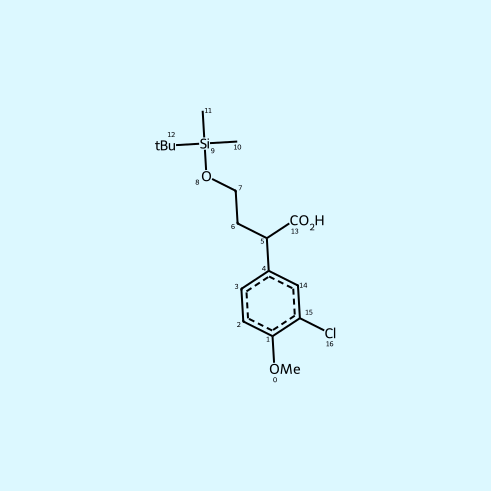 COc1ccc(C(CCO[Si](C)(C)C(C)(C)C)C(=O)O)cc1Cl